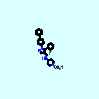 O=C(O)N1CCC(NCc2cnn(-c3ccc(-c4ccccc4)cc3)c2-c2ccccc2F)CC1